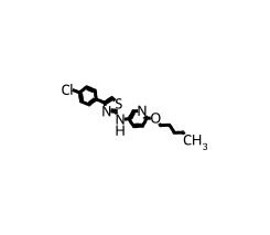 CCCCCOc1ccc(Nc2nc(-c3ccc(Cl)cc3)cs2)cn1